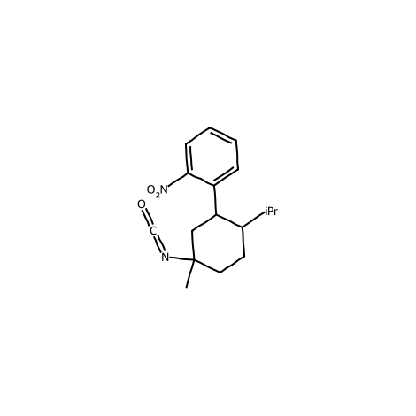 CC(C)C1CCC(C)(N=C=O)CC1c1ccccc1[N+](=O)[O-]